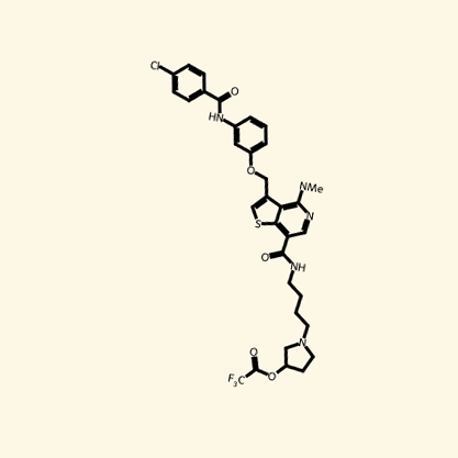 CNc1ncc(C(=O)NCCCCN2CCC(OC(=O)C(F)(F)F)C2)c2scc(COc3cccc(NC(=O)c4ccc(Cl)cc4)c3)c12